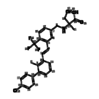 Cc1c(/C=C/c2cc(CNC(C)(CO)C(=O)O)ccc2C(F)(F)F)cccc1-c1ccc(Cl)cc1